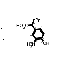 CCCC(C(=O)O)c1ccc(O)c(N)c1